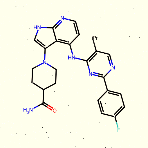 CC(C)c1cnc(-c2ccc(F)cc2)nc1Nc1ccnc2[nH]cc(N3CCC(C(N)=O)CC3)c12